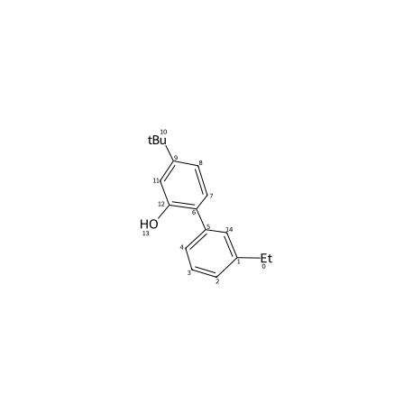 CCc1cccc(-c2ccc(C(C)(C)C)cc2O)c1